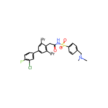 CC(C)c1cc(-c2ccc(F)c(Cl)c2)cc(C(C)C)c1CC(=O)NS(=O)(=O)c1ccc(CN(C)C)cc1